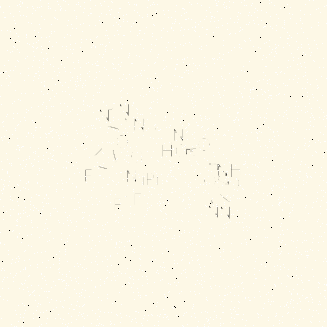 Cc1c(S(=O)(=O)N[C@@H]2CC[C@](O)(CN3CCC4(CC3)CN(c3ncncc3Oc3ccc(F)cc3C(=O)N(CC(F)F)C(C)C)C4)OC2)cnn1C